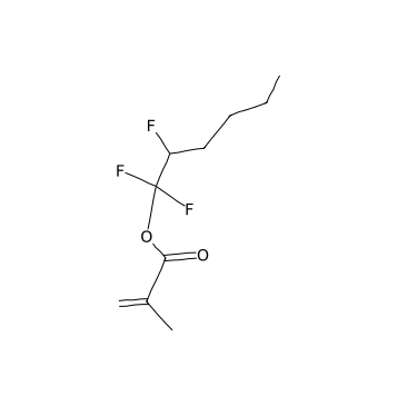 C=C(C)C(=O)OC(F)(F)C(F)CCCC